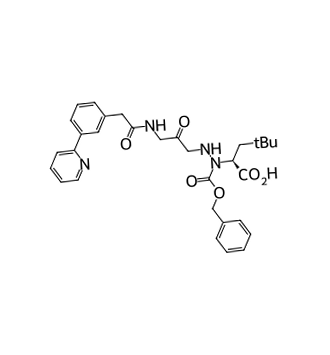 CC(C)(C)C[C@@H](C(=O)O)N(NCC(=O)CNC(=O)Cc1cccc(-c2ccccn2)c1)C(=O)OCc1ccccc1